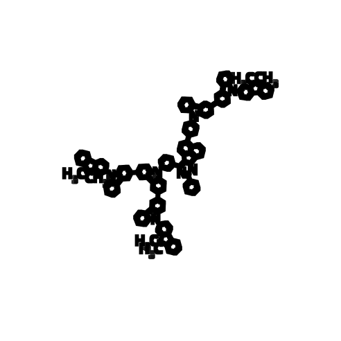 CC1(C)c2ccccc2-c2ccc(-n3c4ccccc4c4cc(-c5ccc6c(c5)c5ccccc5n6-c5ccc(-c6ccc7c8c(cccc68)-c6nc(-c8ccccc8)nc(-c8cccc(-n9c%10ccc(-c%11ccc%12c(c%11)c%11ccccc%11n%12-c%11ccc%12c(c%11)C(C)(C)c%11ccccc%11-%12)cc%10c%10cc(-c%11ccc%12c(c%11)c%11ccccc%11n%12-c%11ccc%12c(c%11)C(C)(C)c%11ccccc%11-%12)ccc%109)c8)c6-7)cc5)ccc43)cc21